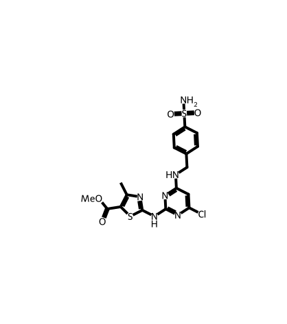 COC(=O)c1sc(Nc2nc(Cl)cc(NCc3ccc(S(N)(=O)=O)cc3)n2)nc1C